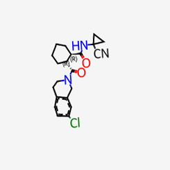 N#CC1(NC(=O)[C@@H]2CCCC[C@H]2C(=O)N2CCc3ccc(Cl)cc3C2)CC1